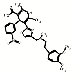 COc1ccc(CCN(C)Cc2noc(C3=C(C)NC(C)=C(C(=O)O)C3c3cccc([N+](=O)[O-])c3)n2)cc1OC